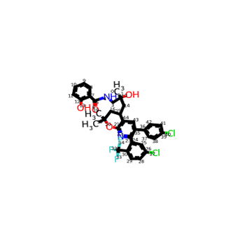 CC(O)(CNC(=O)c1ccccc1O)CC1CC(C)(C)Oc2nc(-c3cc(Cl)ccc3C(F)(F)F)c(-c3ccc(Cl)cc3)cc21